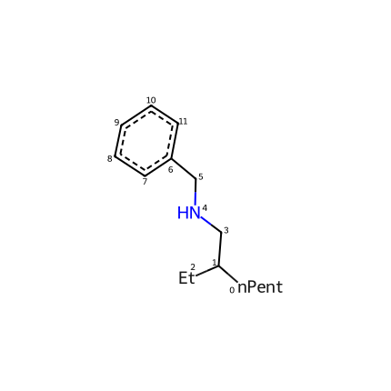 CCCCCC(CC)CNCc1ccccc1